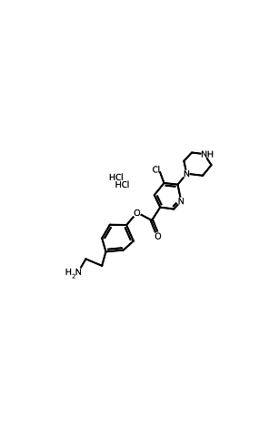 Cl.Cl.NCCc1ccc(OC(=O)c2cnc(N3CCNCC3)c(Cl)c2)cc1